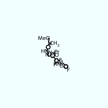 COCCN(C)C1CCC(Nc2ncc3cc(-c4cc(F)c(NS(=O)(=O)Cc5ccc(F)cc5)c(F)c4)c(=O)n(C(C)C)c3n2)CC1